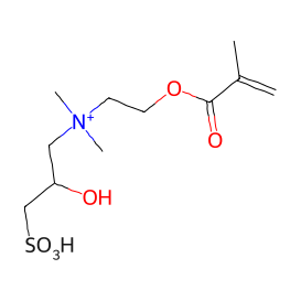 C=C(C)C(=O)OCC[N+](C)(C)CC(O)CS(=O)(=O)O